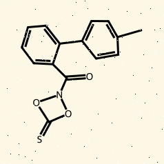 Cc1ccc(-c2ccccc2C(=O)n2oc(=S)o2)cc1